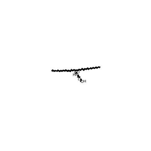 CCCCCCCCCCCCCCCCCCC(CCCCCCCCCCCCCCCCCC)OC(=O)NCCCOCCO